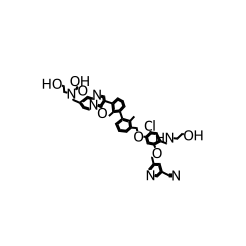 Cc1c(COc2cc(OCc3cncc(C#N)c3)c(CNCCO)cc2Cl)cccc1-c1cccc(-c2cnc3cc(CN(CCO)C(=O)O)ccn3c2=O)c1C